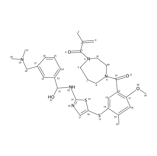 C=C(C)C(=O)N1CCCN(C(=O)c2cc(Sc3cnc(NC(O)c4cccc(CN(C)C)c4)s3)c(C)cc2OC)CC1